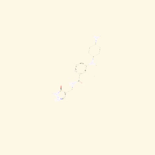 CCN(c1cc(Cl)cc(C(=O)NCc2c(C)[nH]n(C)c2=O)c1C)C1CCC(N(C)C)CC1